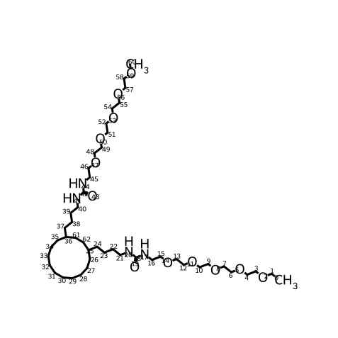 CCOCCOCCOCCOCCOCCNC(=O)NCCCCC1CCCCCCCCCCC(CCCCNC(=O)NCCOCCOCCOCCOCCOC)CC1